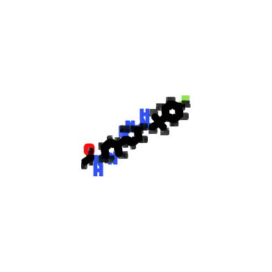 CC(=O)Nc1ccc(-c2ccc(NCC(C)(C)c3ccc(F)cc3)nn2)cn1